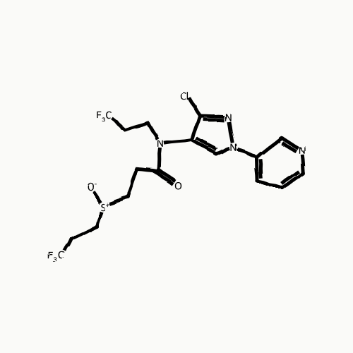 O=C(CC[S+]([O-])CCC(F)(F)F)N(CCC(F)(F)F)c1cn(-c2cccnc2)nc1Cl